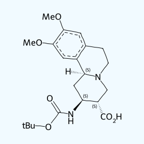 COc1cc2c(cc1OC)[C@@H]1C[C@H](NC(=O)OC(C)(C)C)[C@@H](C(=O)O)CN1CC2